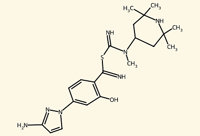 CN(C(=N)SC(=N)c1ccc(-n2ccc(N)n2)cc1O)C1CC(C)(C)NC(C)(C)C1